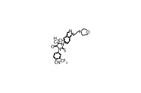 CC1(C)C(=O)N(c2ccc(C#N)c(C(F)(F)F)c2)C(=S)N1c1ccc2c(cnn2CCN2CCOCC2)c1